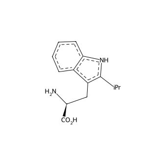 CC(C)c1[nH]c2ccccc2c1C[C@H](N)C(=O)O